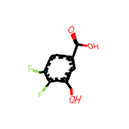 O=C(O)c1cc(O)c(F)c(F)c1